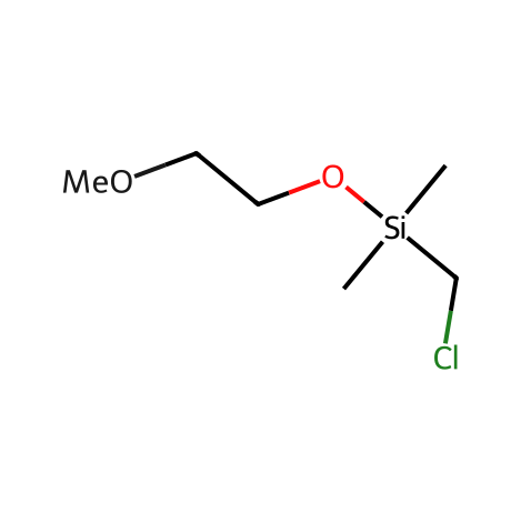 COCCO[Si](C)(C)CCl